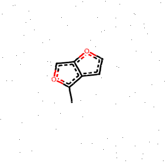 Cc1occ2occc12